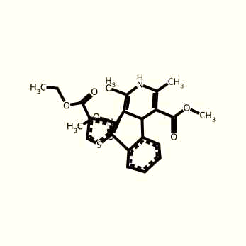 CCOC(=O)c1csc(-c2ccccc2C2C(C(=O)OC)=C(C)NC(C)=C2C(=O)OC)n1